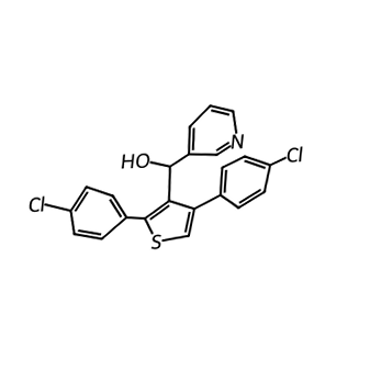 OC(c1cccnc1)c1c(-c2ccc(Cl)cc2)csc1-c1ccc(Cl)cc1